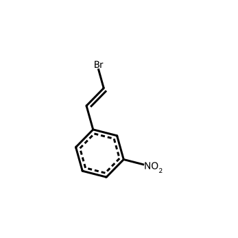 O=[N+]([O-])c1cccc(C=CBr)c1